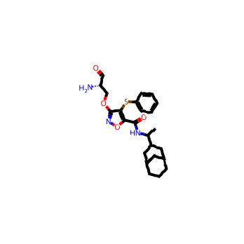 CC(NC(=O)c1onc(OC[C@H](N)C=O)c1Sc1ccccc1)C1CC2CCCC(C2)C1